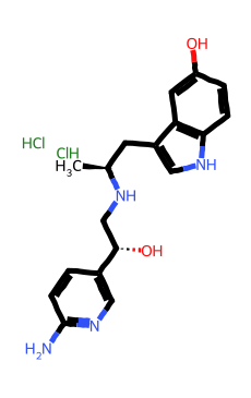 C[C@@H](Cc1c[nH]c2ccc(O)cc12)NC[C@H](O)c1ccc(N)nc1.Cl.Cl